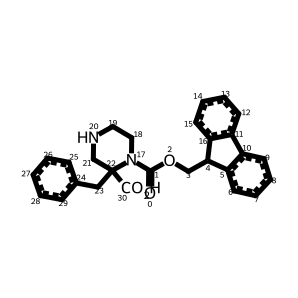 O=C(OCC1c2ccccc2-c2ccccc21)N1CCNCC1(Cc1ccccc1)C(=O)O